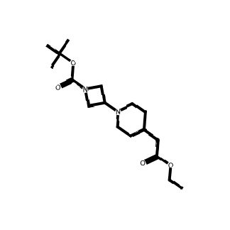 CCOC(=O)CC1CCN(C2CN(C(=O)OC(C)(C)C)C2)CC1